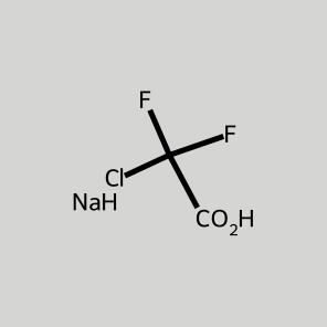 O=C(O)C(F)(F)Cl.[NaH]